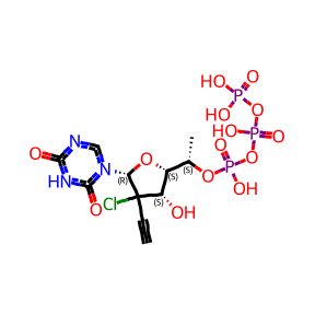 C#CC1(Cl)[C@@H](O)[C@@H]([C@H](C)OP(=O)(O)OP(=O)(O)OP(=O)(O)O)O[C@H]1n1cnc(=O)[nH]c1=O